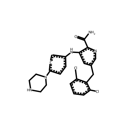 NC(=O)c1ncc(Cc2c(Cl)cccc2Cl)cc1Nc1ccc(N2CCNCC2)cc1